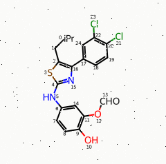 CC(C)Cc1sc(Nc2ccc(O)c(OC=O)c2)nc1-c1ccc(Cl)c(Cl)c1